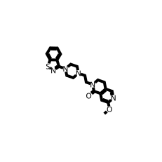 COc1cc2c(cn1)CCN(CCN1CCN(c3nsc4ccccc34)CC1)C2=O